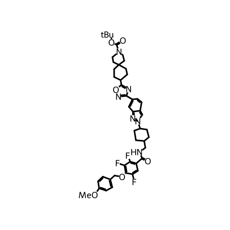 COc1ccc(COc2c(F)cc(C(=O)NCC3CCC(n4cc5ccc(-c6noc(C7CCC8(CC7)CCN(C(=O)OC(C)(C)C)CC8)n6)cc5n4)CC3)c(F)c2F)cc1